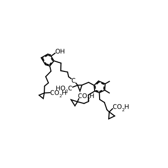 Cc1cc(CC2CC2(CCCCCc2c(O)cccc2CCCCC2(C(=O)O)CC2)C(=O)O)c(CCCC2(C(=O)O)CC2)c(CCCC2(C(=O)O)CC2)c1C